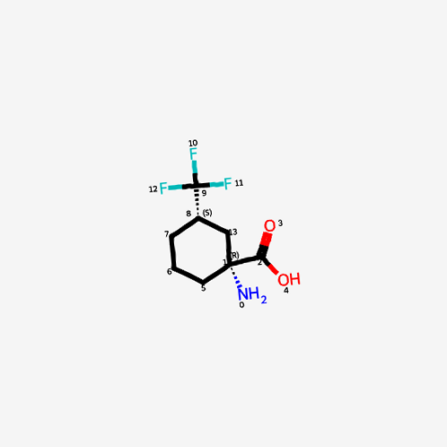 N[C@]1(C(=O)O)CCC[C@H](C(F)(F)F)C1